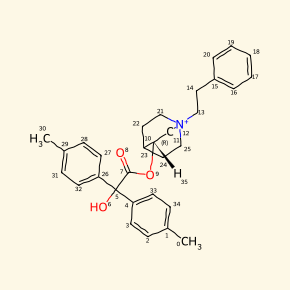 Cc1ccc(C(O)(C(=O)O[C@H]2C[N+]3(CCc4ccccc4)CCC2CC3)c2ccc(C)cc2)cc1